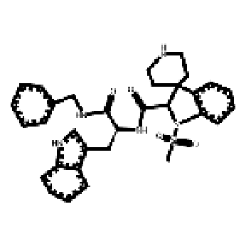 CS(=O)(=O)N1c2ccccc2C2(CCNCC2)C1C(=O)N[C@@H](Cc1c[nH]c2ccccc12)C(=O)NCc1ccccc1